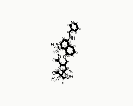 BNPOC(=O)C1=C(COc2cccc3c(NCc4cccnc4)cccc23)[C@H](C)[C@H]2N1C(=O)[C@]2(N)[C@@H](C)O